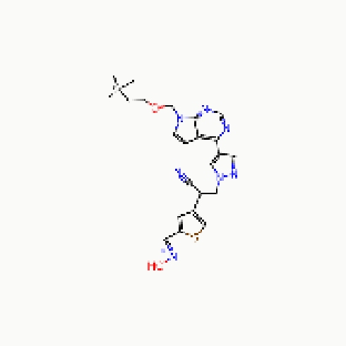 C[Si](C)(C)CCOCn1ccc2c(-c3cnn(CC(C#N)c4csc(/C=N/O)c4)c3)ncnc21